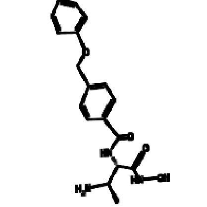 C[C@@H](N)[C@H](NC(=O)c1ccc(COc2ccccc2)cc1)C(=O)NO